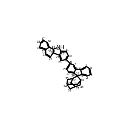 c1ccc2c(c1)-c1cc(-c3ccc4[nH]c5c6ccccc6ccc5c4c3)ccc1C21C2CC3CC(C2)CC1C3